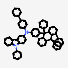 c1ccc(-c2ccc(N(c3ccc(C4(c5ccccc5)c5ccccc5C5(c6ccccc6)c6ccccc6-c6cccc4c65)cc3)c3ccc4c(c3)c3ccccc3n4-c3ccccc3)cc2)cc1